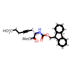 COC(=O)[C@H](CC#CCCC(=O)O)NC(=O)OCC1c2ccccc2-c2ccccc21